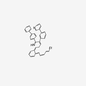 CC/C=C/C=C\C=c1/cccc/c1=C/C/C=C(\C(=N)c1ccc(-c2ccccc2)cc1)c1cccc(-c2cccnc2)c1